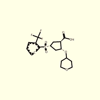 O=C(O)[C@@H]1C[C@@H](S(=O)(=O)c2ccccc2C(F)(F)F)C[C@H]1OC1CCOCC1